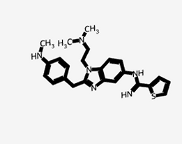 CNc1ccc(Cc2nc3cc(NC(=N)c4cccs4)ccc3n2CCN(C)C)cc1